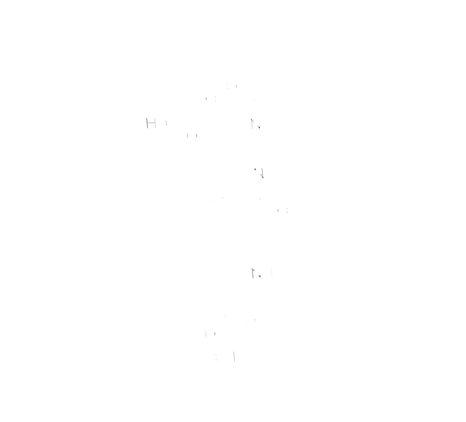 COC(=O)c1cccc2c(C(=O)C(=O)N3CCN(C(=O)c4ccccc4)C(C(=O)OC)C3)c[nH]c12